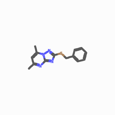 Cc1cc(C)n2nc(SCc3ccccc3)nc2n1